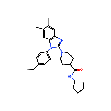 CCc1ccc(-n2c(N3CCC(C(=O)NC4CCCC4)CC3)nc3cc(C)c(C)cc32)cc1